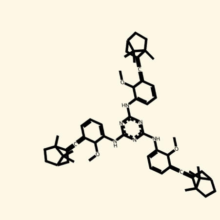 COC1C(=C=C2CC3CCC2(C)C3(C)C)C=CC=C1Nc1nc(NC2=CC=CC(=C=C3CC4CCC3(C)C4(C)C)C2OC)nc(NC2=CC=CC(=C=C3CC4CCC3(C)C4(C)C)C2OC)n1